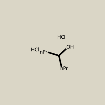 CCCC(O)CCC.Cl.Cl